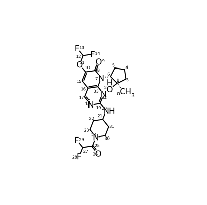 C[C@@]1(O)CCC[C@H]1n1c(=O)c(OC(F)F)cc2cnc(NC3CCN(C(=O)C(F)F)CC3)nc21